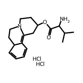 CC(C)C(N)C(=O)OC1CCN2CCC3C=CC=CC3=C2C1.Cl.Cl